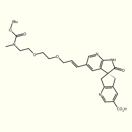 CN(CCOCCOC/C=C/c1cnc2c(c1)[C@@]1(Cc3cc(C(=O)O)cnc3C1)C(=O)N2)C(=O)OC(C)(C)C